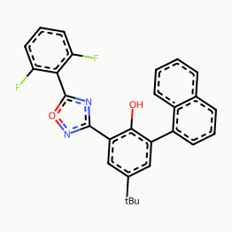 CC(C)(C)c1cc(-c2noc(-c3c(F)cccc3F)n2)c(O)c(-c2cccc3ccccc23)c1